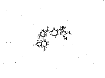 C[SH](O)(Cc1cccc(Nc2ncc(F)c(-c3ccc(F)c4ccoc34)n2)c1)=NC#N